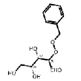 O=C[C@H](OOCc1ccccc1)[C@@H](O)[C@H](O)CO